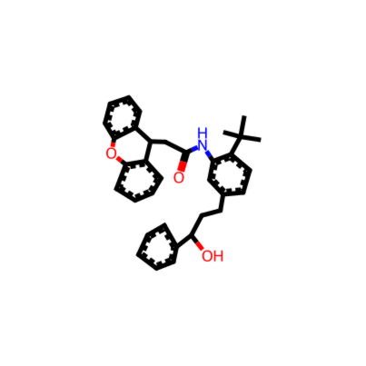 CC(C)(C)c1ccc(CCC(O)c2ccccc2)cc1NC(=O)CC1c2ccccc2Oc2ccccc21